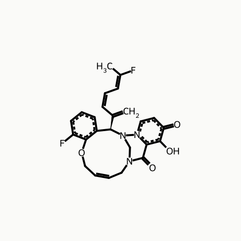 C=C(/C=C\C=C(/C)F)[C@@H]1c2cccc(F)c2OC/C=C\CN2CN1n1ccc(=O)c(O)c1C2=O